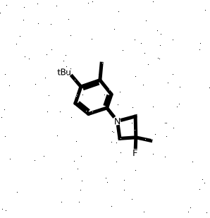 Cc1cc(N2CC(C)(F)C2)ccc1C(C)(C)C